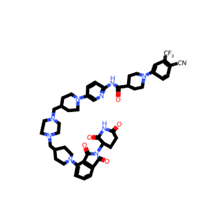 N#Cc1ccc(N2CCC(C(=O)Nc3ccc(N4CCC(CN5CCN(CC6CCN(c7cccc8c7C(=O)N(C7CCC(=O)NC7=O)C8=O)CC6)CC5)CC4)cn3)CC2)cc1C(F)(F)F